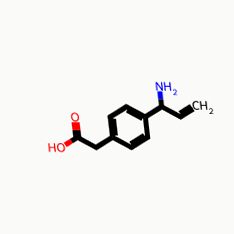 C=CC(N)c1ccc(CC(=O)O)cc1